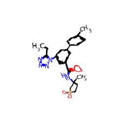 CCc1nnnn1-c1cc(C(=O)NC2(C)CCS(=O)(=O)C2)cc(-c2ccc(C)cc2)c1